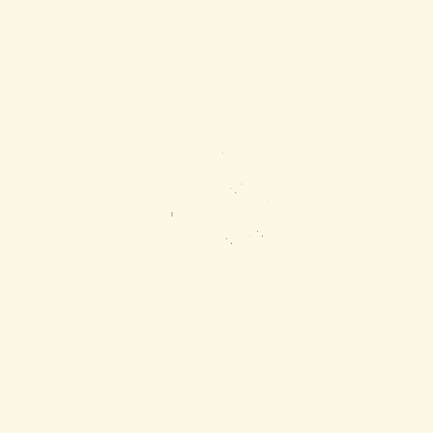 CCCN1N=CN(C(F)(F)F)C1C(C)C